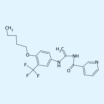 C=C(NC(=O)c1cccnc1)Nc1ccc(OCCCCC)c(C(F)(F)F)c1